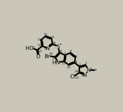 Cn1cc(-c2ccc3c(Sc4cccc(C(=O)O)n4)c(Br)[nH]c3c2)c(Cl)n1